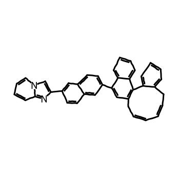 C1=C\Cc2ccccc2-c2c(cc(-c3ccc4cc(-c5cn6ccccc6n5)ccc4c3)c3ccccc23)C\C=C/1